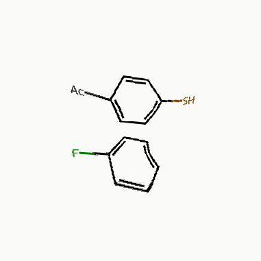 CC(=O)c1ccc(S)cc1.Fc1ccccc1